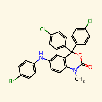 CN1C(=O)OC(c2ccc(Cl)cc2)(c2ccc(Cl)cc2)c2cc(Nc3ccc(Br)cc3)ccc21